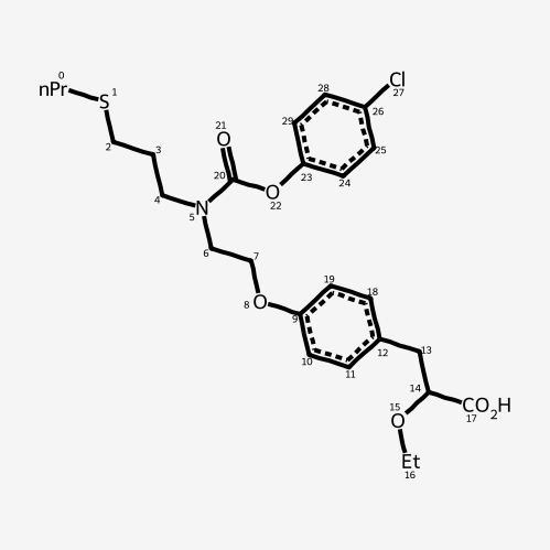 CCCSCCCN(CCOc1ccc(CC(OCC)C(=O)O)cc1)C(=O)Oc1ccc(Cl)cc1